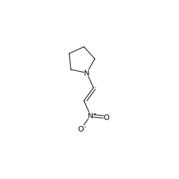 O=[N+]([O-])/C=[C]/N1CCCC1